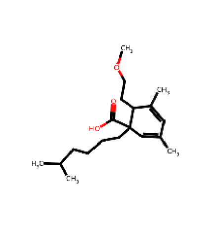 COCCC1C(C)=CC(C)=CC1(CCCCC(C)C)C(=O)O